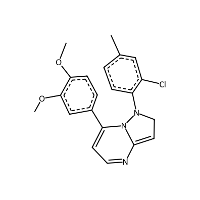 COc1ccc(C2=CC=NC3=CCN(c4ccc(C)cc4Cl)N32)cc1OC